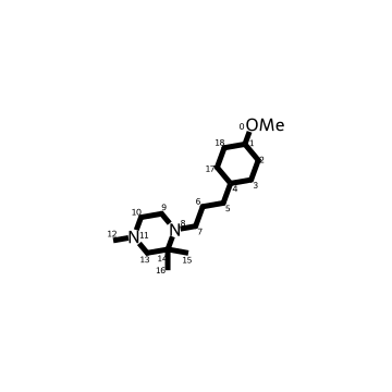 COC1CCC(CCCN2CCN(C)CC2(C)C)CC1